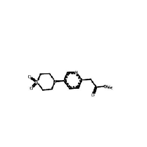 COC(=O)Cc1ccc(N2CCS(=O)(=O)CC2)cn1